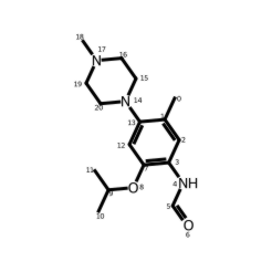 Cc1cc(NC=O)c(OC(C)C)cc1N1CCN(C)CC1